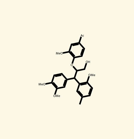 COc1ccc(C(c2cc(C)ccc2OC)C(CO)Oc2ccc(C(C)=O)cc2OC)cc1OC